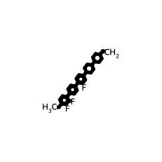 C=CC1CCC(C2CCC(c3ccc(-c4ccc(-c5ccc(CC)c(F)c5F)cc4)c(F)c3)CC2)CC1